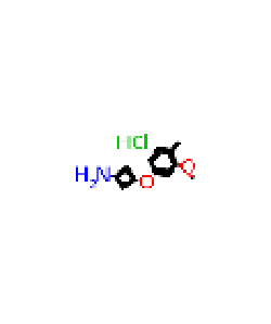 COc1cc(O[C@H]2C[C@H](N)C2)ccc1C.Cl